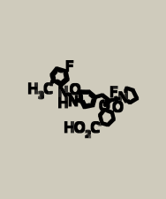 Cc1ccc(F)cc1Nc1nc2ccc(CC(=O)C(F)(O[C@H]3CC[C@H](C(=O)O)CC3)N3CCCC3)cc2o1